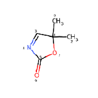 CC1(C)C=NC(=O)O1